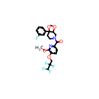 COc1nc(C(=O)N2CCC3(c4cccc(F)c4)OCOC3C2)ccc1OCC(F)(F)C(F)F